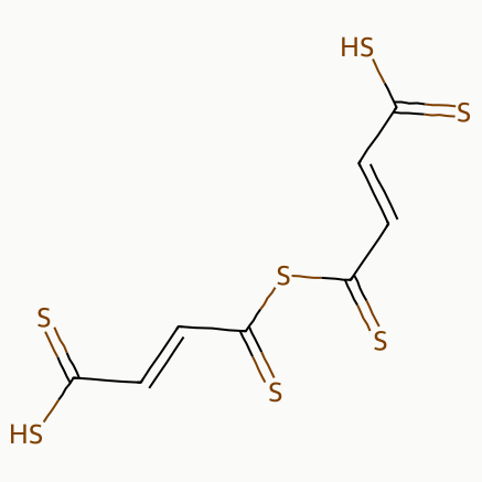 S=C(S)C=CC(=S)SC(=S)C=CC(=S)S